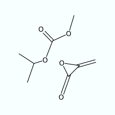 C=C1OC1=O.COC(=O)OC(C)C